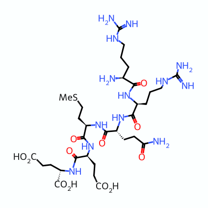 CSCC[C@@H](NC(=O)[C@@H](CCC(N)=O)NC(=O)[C@H](CCCNC(=N)N)NC(=O)[C@@H](N)CCCNC(=N)N)C(=O)N[C@@H](CCC(=O)O)C(=O)N[C@@H](CCC(=O)O)C(=O)O